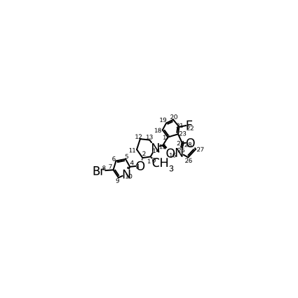 C[C@H]1[C@H](Oc2ccc(Br)cn2)CCCN1C(=O)c1cccc(F)c1-c1ncco1